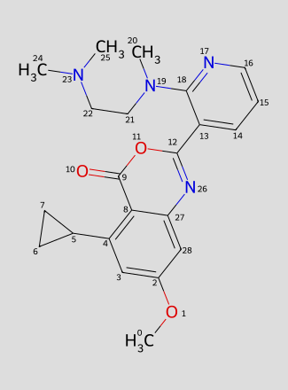 COc1cc(C2CC2)c2c(=O)oc(-c3cccnc3N(C)CCN(C)C)nc2c1